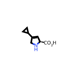 O=C(O)[C@@H]1C=C(C2CC2)CN1